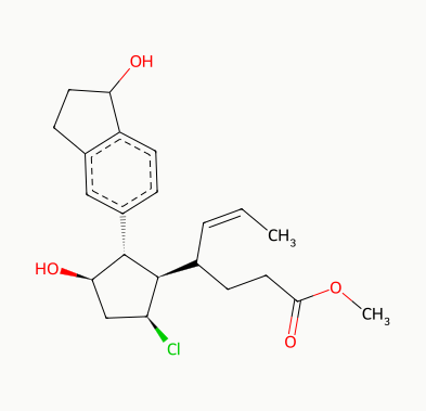 C/C=C\C(CCC(=O)OC)[C@@H]1[C@@H](c2ccc3c(c2)CCC3O)[C@H](O)C[C@@H]1Cl